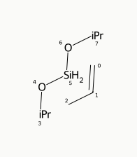 C=CC.CC(C)O[SiH2]OC(C)C